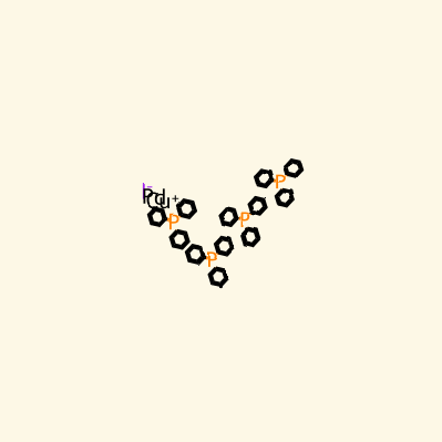 [Cu+].[I-].[Pd].c1ccc(P(c2ccccc2)c2ccccc2)cc1.c1ccc(P(c2ccccc2)c2ccccc2)cc1.c1ccc(P(c2ccccc2)c2ccccc2)cc1.c1ccc(P(c2ccccc2)c2ccccc2)cc1